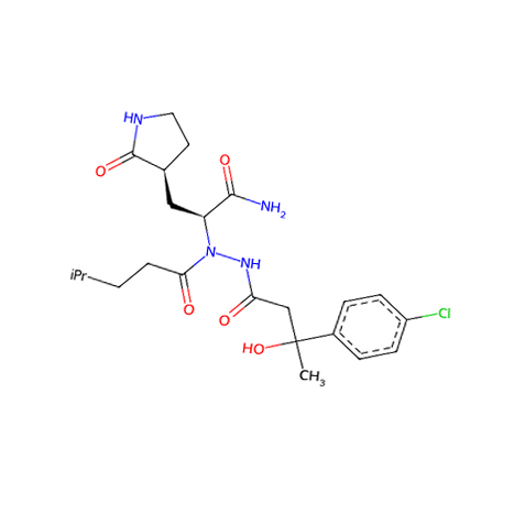 CC(C)CCC(=O)N(NC(=O)CC(C)(O)c1ccc(Cl)cc1)[C@@H](C[C@@H]1CCNC1=O)C(N)=O